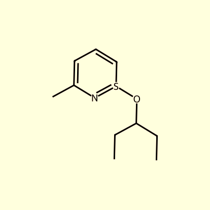 CCC(CC)OS1=NC(C)=CC=C1